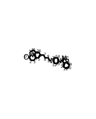 O=C1CCc2cc(CCCCN3CCN(c4nsc5ccccc45)CC3)cc3c2N1CC3